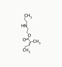 CCC=C(C)C(=O)OCCNCCC